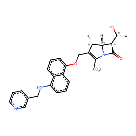 C[C@@H](O)[C@H]1C(=O)N2C(C(=O)O)=C(COc3cccc4c(NCc5cccnc5)cccc34)[C@H](C)[C@H]12